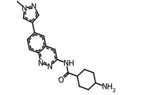 Cn1cc(-c2ccc3nnc(NC(=O)C4CCC(N)CC4)cc3c2)cn1